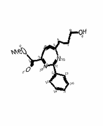 COC(=O)c1cc(CCCO)nc(-c2ccccc2)n1